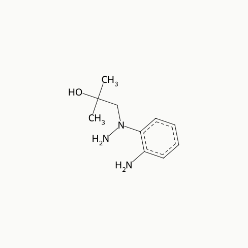 CC(C)(O)CN(N)c1ccccc1N